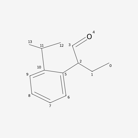 CCC(C=O)c1ccccc1C(C)C